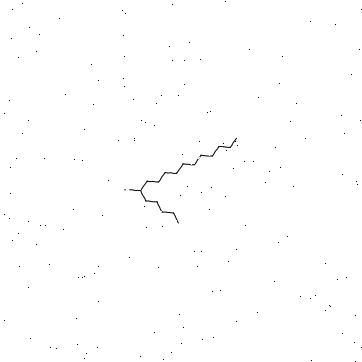 [CH2]C(CCCCC)CCCCCCCCCCC